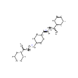 O=C(N/N=C/C1CCC(/C=N/NC(=O)C2CCCCC2)CC1)C1CCCCC1